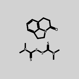 CN(C)C(=S)SSC(=S)N(C)C.O=C1CCc2cccc3c2N1CC3